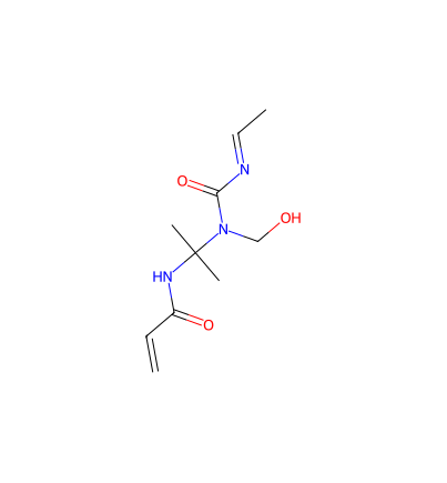 C=CC(=O)NC(C)(C)N(CO)C(=O)N=CC